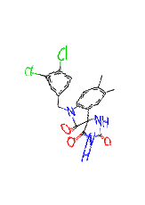 Cc1cc2c(cc1C)C1(NC(=O)NC1=O)C(=O)N2Cc1ccc(Cl)c(Cl)c1